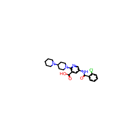 O=C(Nc1cnc(N2CCC(N3CCCCC3)CC2)c(C(=O)O)c1)c1ccccc1Cl